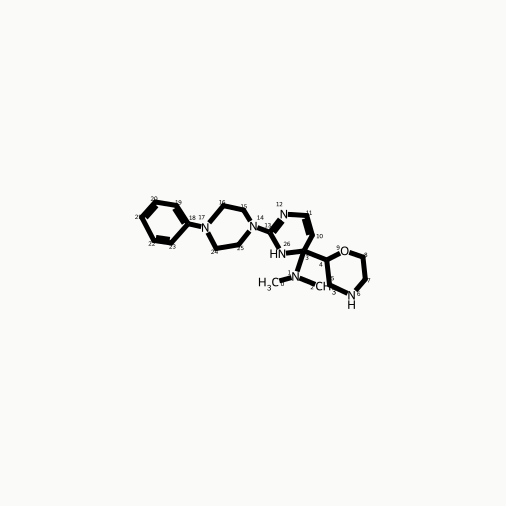 CN(C)C1(C2CNCCO2)C=CN=C(N2CCN(c3ccccc3)CC2)N1